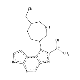 C[C@@H](O)c1nc2cnc3[nH]ccc3c2n1C1CCC(CC#N)CNC1